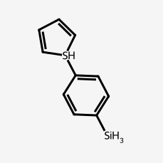 [SiH3]c1ccc([SH]2C=CC=C2)cc1